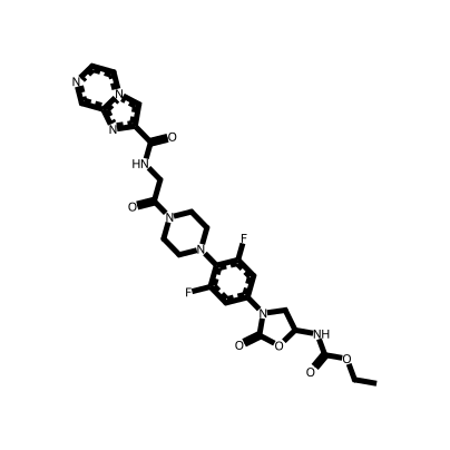 CCOC(=O)NC1CN(c2cc(F)c(N3CCN(C(=O)CNC(=O)c4cn5ccncc5n4)CC3)c(F)c2)C(=O)O1